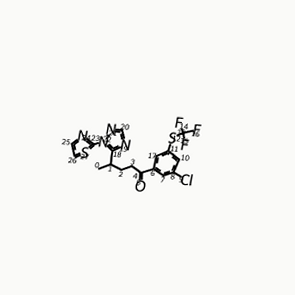 CC(CCC(=O)c1cc(Cl)cc(SC(F)(F)F)c1)c1ncnn1-c1nccs1